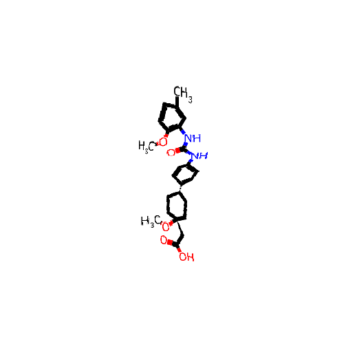 COc1ccc(C)cc1NC(=O)Nc1ccc([C@H]2CC[C@@](CC(=O)O)(OC)CC2)cc1